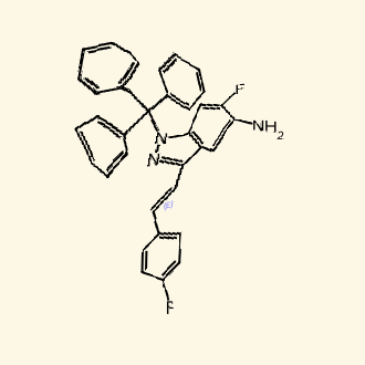 Nc1cc2c(/C=C/c3ccc(F)cc3)nn(C(c3ccccc3)(c3ccccc3)c3ccccc3)c2cc1F